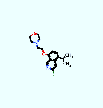 CC(C)c1ccc(OCCN2CCOCC2)c2cnc(Cl)cc12